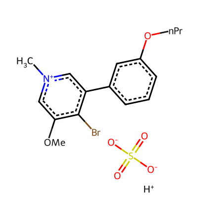 CCCOc1cccc(-c2c[n+](C)cc(OC)c2Br)c1.O=S(=O)([O-])[O-].[H+]